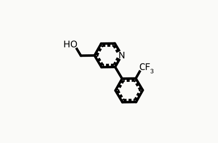 OCc1ccnc(-c2ccccc2C(F)(F)F)c1